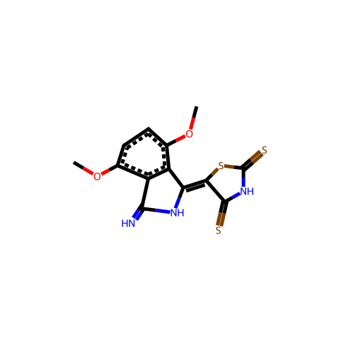 COc1ccc(OC)c2c1C(=N)NC2=C1SC(=S)NC1=S